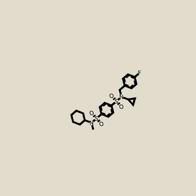 CN(C1CCCCC1)S(=O)(=O)c1ccc(S(=O)(=O)N(Cc2ccc(F)cc2)C2CC2)cc1